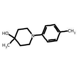 Cc1ccc(N2CCC(C)(O)CC2)cc1